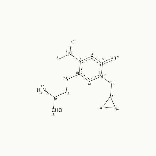 CN(C)c1cc(=O)n(CC2CC2)cc1CCC(N)C=O